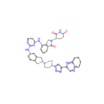 O=C1CCC(N2Cc3c(Nc4ccnc(Nc5ccc6c(c5)CC(N5CCC(n7cc(-c8cnc9ccccc9n8)cn7)CC5)C6)n4)cccc3C2=O)C(=O)N1